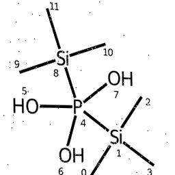 C[Si](C)(C)P(O)(O)(O)[Si](C)(C)C